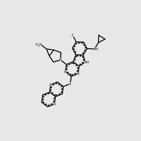 NC1C2CN(c3nc(Sc4cnc5cccnc5c4)nc4[nH]c5c(NC6CC6)cc(F)cc5c34)CC12